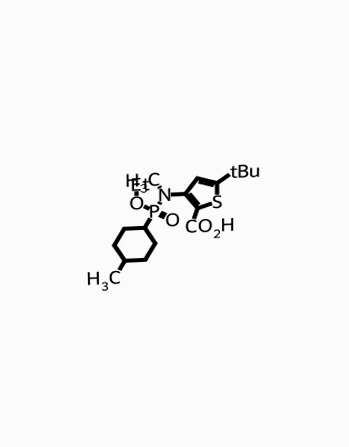 CCOP(=O)(C1CCC(C)CC1)N(C)c1cc(C(C)(C)C)sc1C(=O)O